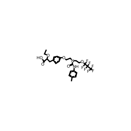 CCOC(Cc1ccc(OCCN(CCOC(F)(F)C(F)(F)C(F)(F)F)C(=O)Nc2ccc(C)cc2)cc1)C(=O)O